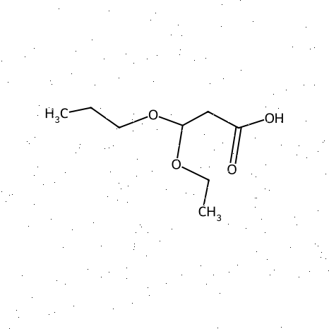 CCCOC(CC(=O)O)OCC